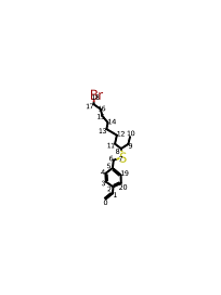 C=Cc1ccc(CSC(CC)CCCCCCCBr)cc1